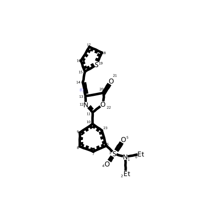 CCN(CC)S(=O)(=O)c1cccc(C2=N/C(=C/c3cccs3)C(=O)O2)c1